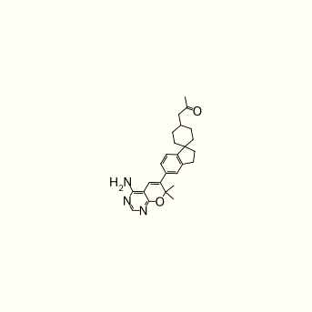 CC(=O)CC1CCC2(CCc3cc(C4=Cc5c(N)ncnc5OC4(C)C)ccc32)CC1